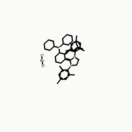 CC(C)=CC=C1C(=C2N(c3c(C)cc(C)cc3C)CCN2c2c(C)cc(C)cc2C)CCCC1P(C1CCCCC1)C1CCCCC1.[Cl][Ru][Cl]